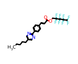 CCCCCc1cnc(-c2ccc(C=CC(=O)OCC(F)(F)C(F)(F)C(F)(F)C(F)F)cc2)nc1